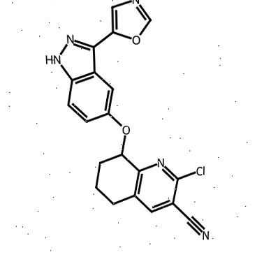 N#Cc1cc2c(nc1Cl)C(Oc1ccc3[nH]nc(-c4cnco4)c3c1)CCC2